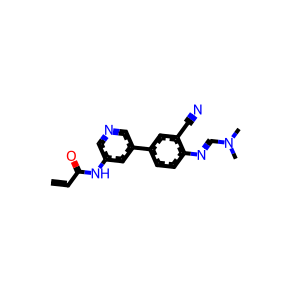 C=CC(=O)Nc1cncc(-c2ccc(/N=C/N(C)C)c(C#N)c2)c1